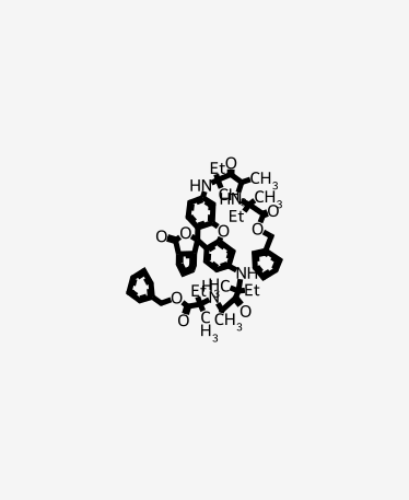 CCC(C)(NC(C)C(=O)C(C)(CC)Nc1ccc2c(c1)Oc1cc(NC(C)(CC)C(=O)C(C)NC(C)(CC)C(=O)OCc3ccccc3)ccc1C21OC(=O)c2ccccc21)C(=O)OCc1ccccc1